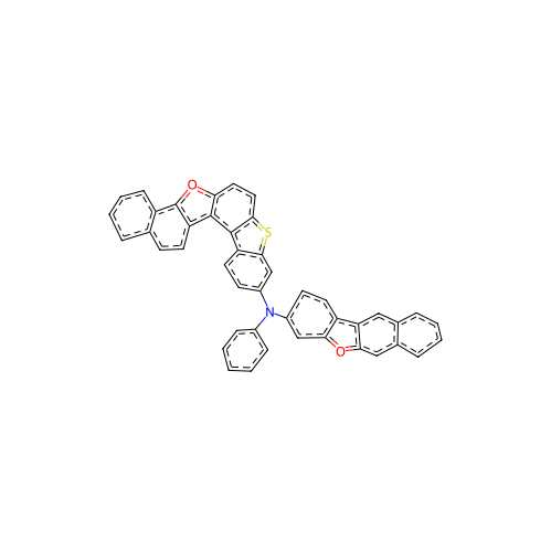 c1ccc(N(c2ccc3c(c2)oc2cc4ccccc4cc23)c2ccc3c(c2)sc2ccc4oc5c6ccccc6ccc5c4c23)cc1